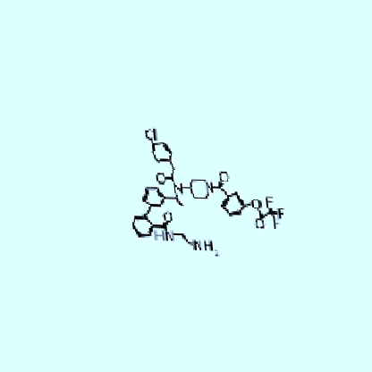 CC(c1cccc(-c2ccccc2C(=O)NCCN)c1)N(C(=O)Cc1ccc(Cl)cc1)C1CCN(C(=O)c2cccc(OC(=O)C(F)(F)F)c2)CC1